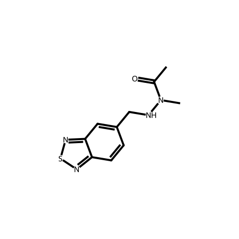 CC(=O)N(C)NCc1ccc2nsnc2c1